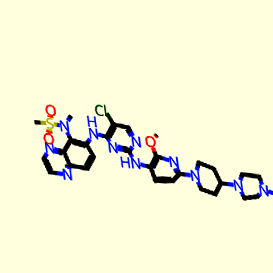 COc1nc(N2CCC(N3CCN(C)CC3)CC2)ccc1Nc1ncc(Cl)c(Nc2ccc3nccnc3c2N(C)S(C)(=O)=O)n1